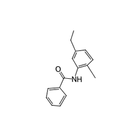 CCc1ccc(C)c(NC(=O)c2ccccc2)c1